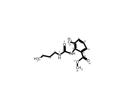 CCCCNC(=O)Nc1c(C)cccc1C(=O)OC